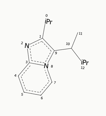 CC(C)c1nc2ccccn2c1C(C)C(C)C